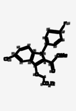 CCOC(=O)COc1c(C(=O)OC)n(-c2ccc(F)cc2)c2ccc(Cl)cc12